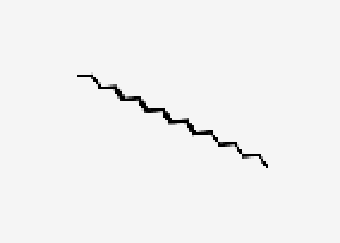 [CH2]CCC=CC=CC=CC=CCCCCCC